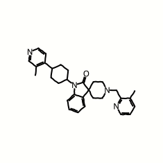 Cc1cnccc1C1CCC(N2C(=O)C3(CCN(Cc4ncccc4C)CC3)c3ccccc32)CC1